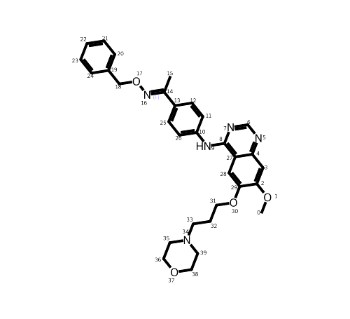 COc1cc2ncnc(Nc3ccc(/C(C)=N/OCc4ccccc4)cc3)c2cc1OCCCN1CCOCC1